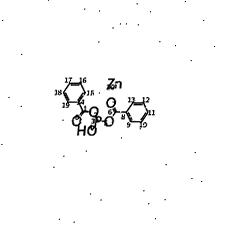 O=C(OP(O)OC(=O)c1ccccc1)c1ccccc1.[Zn]